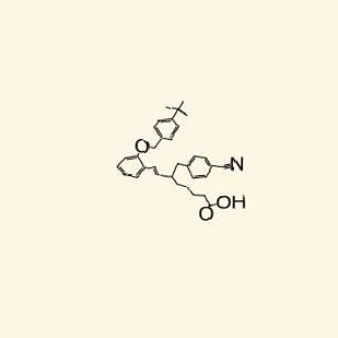 CC(C)(C)c1ccc(COc2ccccc2/C=C/C(CCCCC(=O)O)Cc2ccc(C#N)cc2)cc1